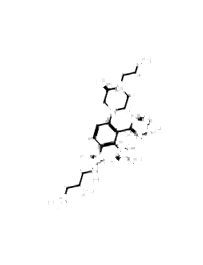 NC[C@@H](O)CNS(=O)(=O)c1ccc(N2CCN(CCO)C(=O)C2)c(-c2nn[nH]n2)c1S(N)(=O)=O